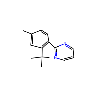 Cc1ccc(-c2ncccn2)c(C(C)(C)C)c1